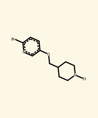 CCN1CCC(COc2ccc(Br)nc2)CC1